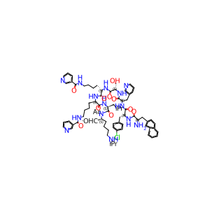 CC(=O)N(C(=O)[C@H](CC(C)C)NC(=O)[C@@H](CCCCNC(=O)c1cccnc1)NC(=O)[C@H](CCCCNC(=O)c1cccnc1)NC(=O)[C@H](CO)NC(=O)[C@@H](Cc1cccnc1)NC(=O)[C@@H](Cc1ccc(Cl)cc1)NC(=O)[C@H](N)Cc1ccc2ccccc2c1)[C@H]([C]=O)CCCCNC(C)C